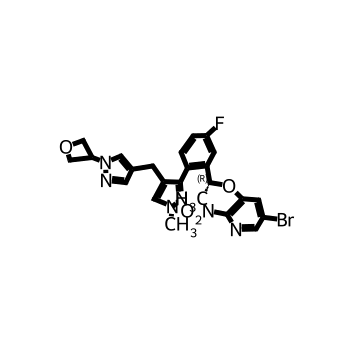 C[C@@H](Oc1cc(Br)cnc1[N+](=O)[O-])c1cc(F)ccc1-c1nn(C)cc1Cc1cnn(C2COC2)c1